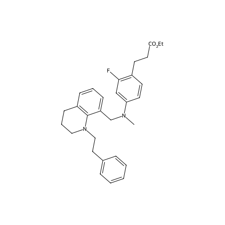 CCOC(=O)CCc1ccc(N(C)Cc2cccc3c2N(CCc2ccccc2)CCC3)cc1F